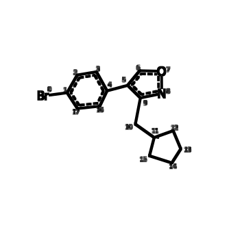 Brc1ccc(-c2conc2C[C]2CCCC2)cc1